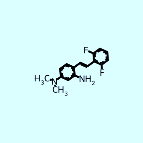 CN(C)c1ccc(/C=C/c2c(F)cccc2F)c(N)c1